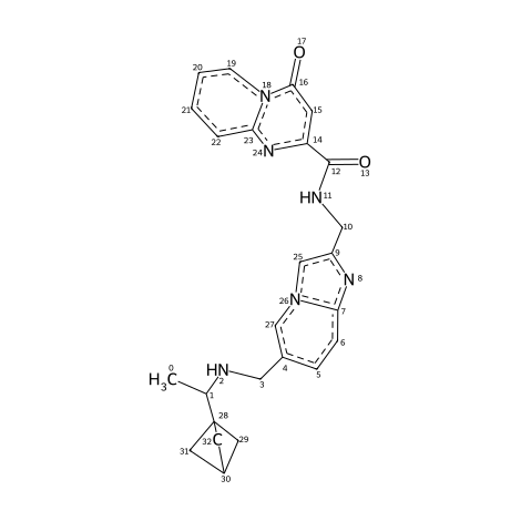 CC(NCc1ccc2nc(CNC(=O)c3cc(=O)n4ccccc4n3)cn2c1)C12CC(C1)C2